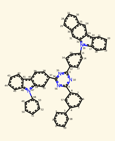 c1ccc(-c2cccc(-c3nc(-c4ccc(-n5c6ccccc6c6cc7ccccc7cc65)cc4)nc(-c4ccc5c6ccccc6n(-c6ccccc6)c5c4)n3)c2)cc1